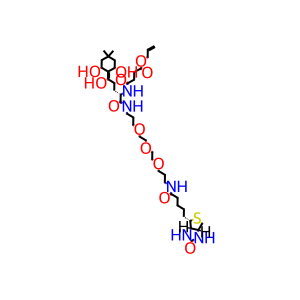 C=CCOC(=O)CCC(=O)N[C@@H](CCC(O)=C1C(O)CC(C)(C)CC1O)C(=O)NCCCOCCOCCOCCCNC(=O)CCCC[C@@H]1SC[C@@H]2NC(=O)N[C@@H]21